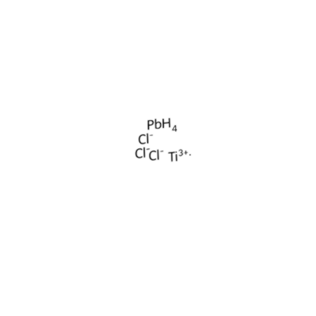 [Cl-].[Cl-].[Cl-].[PbH4].[Ti+3]